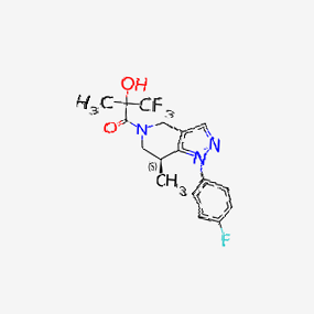 C[C@H]1CN(C(=O)C(C)(O)C(F)(F)F)Cc2cnn(-c3ccc(F)cc3)c21